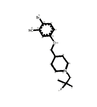 CC(C)(F)CN1CCC(COc2ccc(Br)c(C#N)c2)CC1